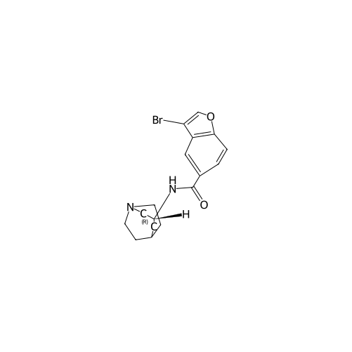 O=C(N[C@@H]1CC2CCN(CC2)C1)c1ccc2occ(Br)c2c1